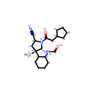 C[C@@]1(C2CCCCC2NC=O)CC(C#N)N(C(=O)CC2CCCC2)C1